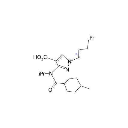 CC(C)C/C=C/n1cc(C(=O)O)c(N(C(=O)C2CCC(C)CC2)C(C)C)n1